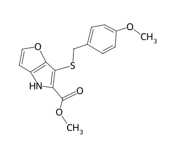 COC(=O)c1[nH]c2ccoc2c1SCc1ccc(OC)cc1